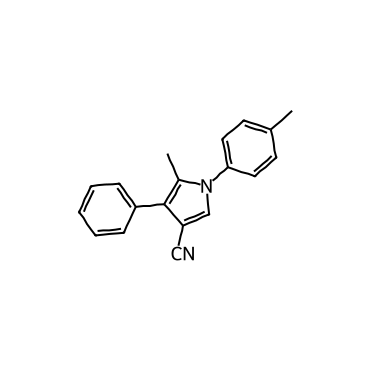 Cc1ccc(-n2cc(C#N)c(-c3ccccc3)c2C)cc1